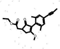 CC#Cc1cc(C)c(C2=C(OC)CC(CC(=O)OCC)C2=O)c(C)c1